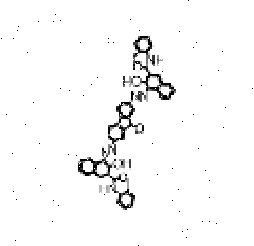 O=C1c2cc(N=Nc3c(O)c(C(=O)Nc4ccccc4I)cc4ccccc34)ccc2-c2ccc(N=Nc3c(O)c(C(=O)Nc4ccccc4I)cc4ccccc34)cc21